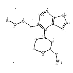 CCOOCc1cnc2[nH]ncc2c1N1CCOC(CN)C1